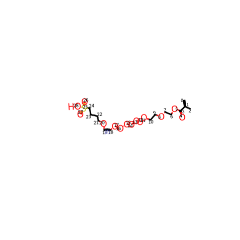 C=C(C)C(=O)OCCOCCOOOOOOO/C=C\OCCCCS(=O)(=O)O